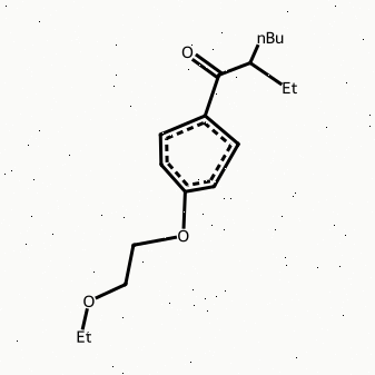 CCCCC(CC)C(=O)c1ccc(OCCOCC)cc1